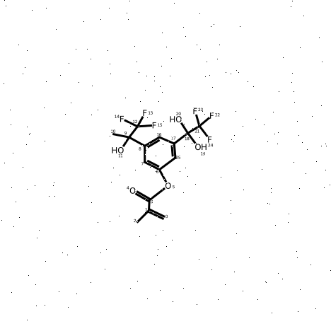 C=C(C)C(=O)Oc1cc(C(C)(O)C(F)(F)F)cc(C(O)(O)C(F)(F)F)c1